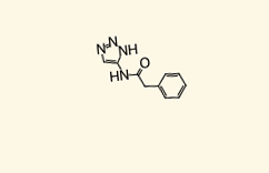 O=C(Cc1ccccc1)Nc1cnn[nH]1